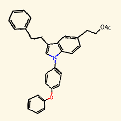 CC(=O)OCCc1ccc2c(c1)c(CCc1ccccc1)cn2-c1ccc(Oc2ccccc2)cc1